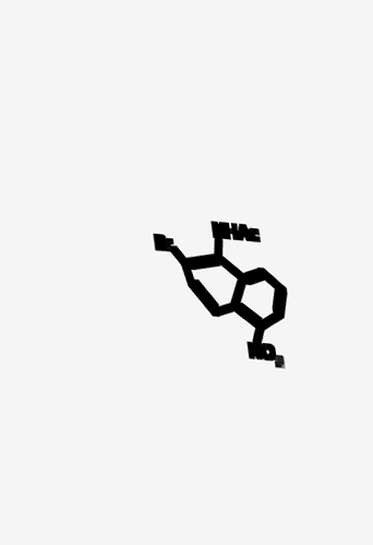 CC(=O)Nc1c(Br)ccc2c([N+](=O)[O-])cccc12